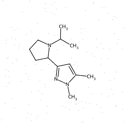 Cc1cc(C2CCCN2C(C)C)nn1C